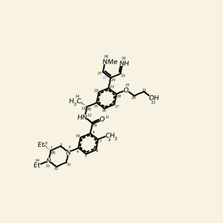 CC[C@@H]1CN(c2ccc(C)c(C(=O)N[C@H](C)c3ccc(OCCO)c(/C(C=N)=C/NC)c3)c2)CCN1CC